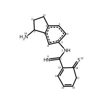 N=C(Nc1ccc2c(c1)C(N)CC2)C1=CC=CCC1=S